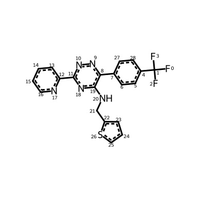 FC(F)(F)c1ccc(-c2nnc(-c3ccccn3)nc2NCc2cccs2)cc1